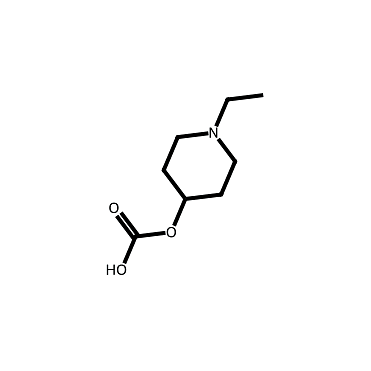 CCN1CCC(OC(=O)O)CC1